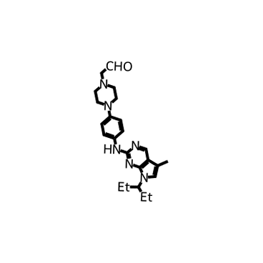 CCC(CC)n1cc(C)c2cnc(Nc3ccc(N4CCN(CC=O)CC4)cc3)nc21